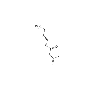 C=C(C)CC(=O)OC=CCC(=O)O